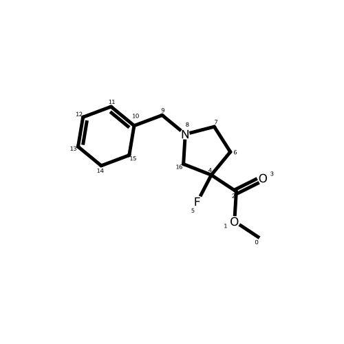 COC(=O)C1(F)CCN(CC2=CC=CCC2)C1